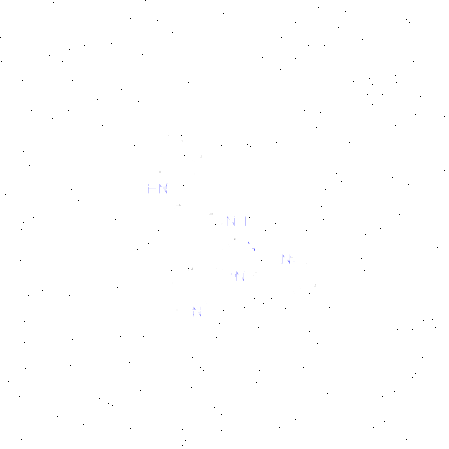 Fc1cccc2c(CCNc3cc(-c4cccnc4)nc(-c4ccccn4)n3)c[nH]c12